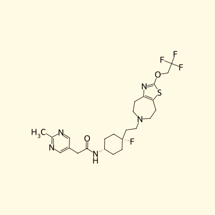 Cc1ncc(CC(=O)N[C@H]2CC[C@](F)(CCN3CCc4nc(OCC(F)(F)F)sc4CC3)CC2)cn1